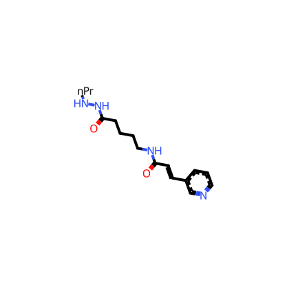 CCCNNC(=O)CCCCNC(=O)/C=C/c1cccnc1